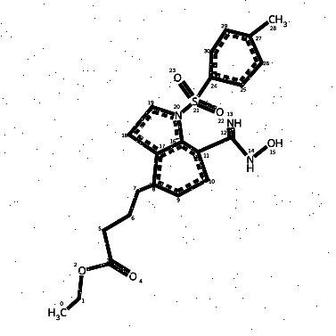 CCOC(=O)CCCc1ccc(C(=N)NO)c2c1ccn2S(=O)(=O)c1ccc(C)cc1